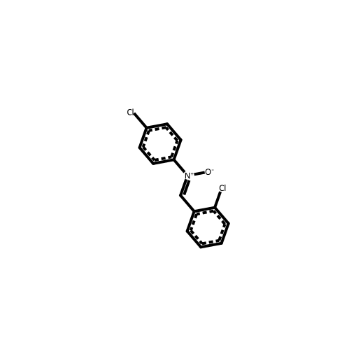 [O-][N+](=Cc1ccccc1Cl)c1ccc(Cl)cc1